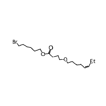 CC/C=C\CCCCOCCCC(=O)OCCCCCCBr